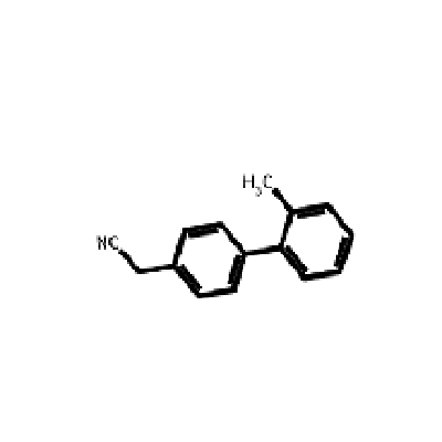 Cc1ccccc1-c1ccc(CC#N)cc1